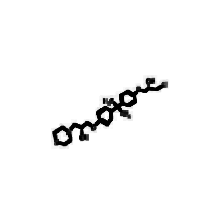 CC(C)(c1ccc(OC[C@H](O)CCl)cc1)c1ccc(OC[C@@H](O)CN2CCSCC2)cc1